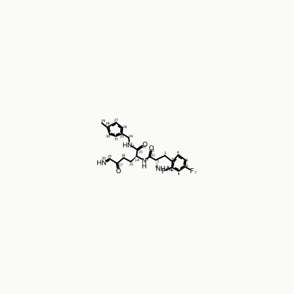 CC(=O)N[C@@H](Cc1ccc(F)cc1F)C(=O)N[C@@H](CCC(=O)C=N)C(=O)NCc1ccc(C)cc1